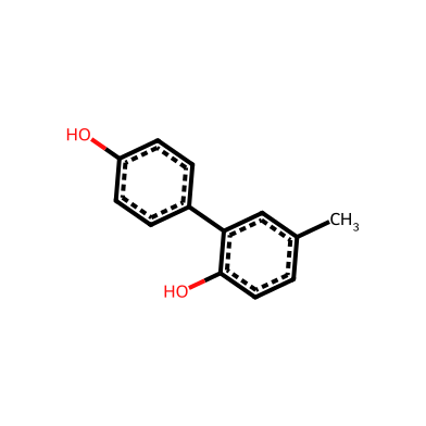 Cc1ccc(O)c(-c2ccc(O)cc2)c1